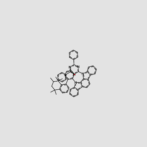 CC1CC(C)(C)c2cccc(-c3ccccc3-n3c4ccccc4c4ccc5c6ccccc6n(-c6nc(-c7ccccc7)nc(-c7ccccc7)n6)c5c43)c2C1(C)C